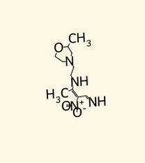 C/C(NCCN1CCOC(C)C1)=C(/C=N)[N+](=O)[O-]